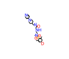 COC1C=C(C)C(S(=O)(=O)N(C)CCNCC(=O)N(C)CC2CCN(c3ccncc3)CC2)=C(C)C1